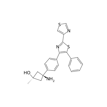 C[C@]1(O)C[C@](N)(c2ccc(-c3nc(-c4cscn4)sc3-c3ccccc3)cc2)C1